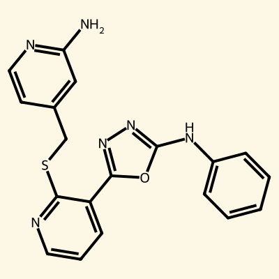 Nc1cc(CSc2ncccc2-c2nnc(Nc3ccccc3)o2)ccn1